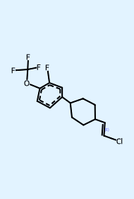 Fc1cc(C2CCC(/C=C/Cl)CC2)ccc1OC(F)(F)F